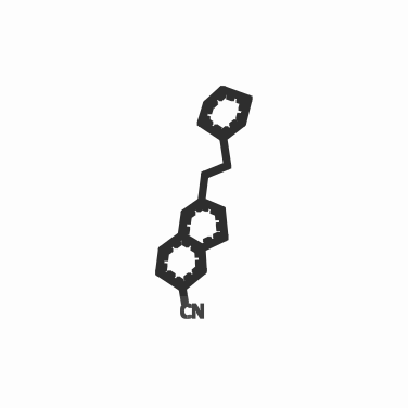 N#Cc1ccc2cc(CCc3ccccc3)ccc2c1